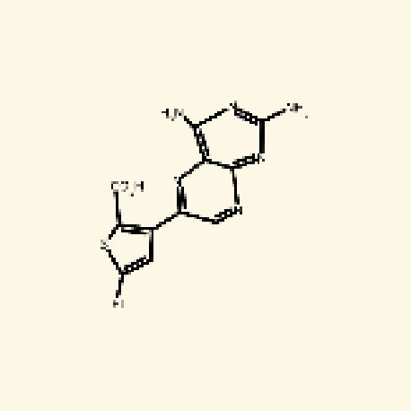 CCc1cc(-c2cnc3nc(N)nc(N)c3n2)c(C(=O)O)s1